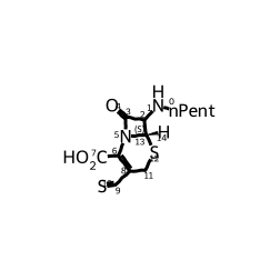 CCCCCNC1C(=O)N2C(C(=O)O)=C(C=S)CS[C@@H]12